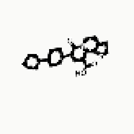 O=C(O)c1cc(-c2ccc(-c3ccccc3)cc2)c(=O)n2ccc3ccsc3c12